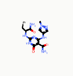 CC(C)CC(Nc1nc(Nc2cnn(C)c2)c(C(N)=O)c(=O)[nH]1)C(N)=O